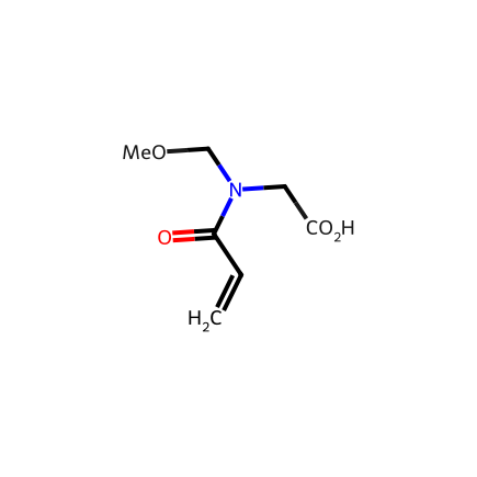 C=CC(=O)N(COC)CC(=O)O